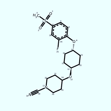 CS(=O)(=O)c1ccc(O[C@H]2CC[C@H](OC3CCN(C#N)CC3)CC2)c(F)c1